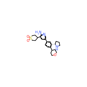 Nc1ncc(-c2ccc(C3CCOCC3)c([C@@H]3CCCN3)c2)cc1C1CCS(=O)(=O)CC1